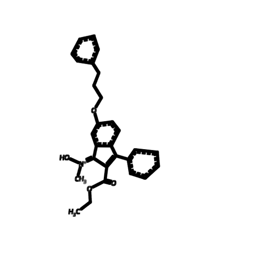 CCOC(=O)C1=C(c2ccccc2)c2ccc(OCCCc3ccccc3)cc2/C1=[N+](/C)O